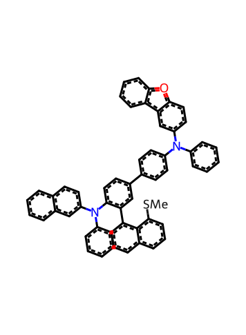 CSc1cccc2cccc(-c3cc(-c4ccc(N(c5ccccc5)c5ccc6oc7ccccc7c6c5)cc4)ccc3N(c3ccccc3)c3ccc4ccccc4c3)c12